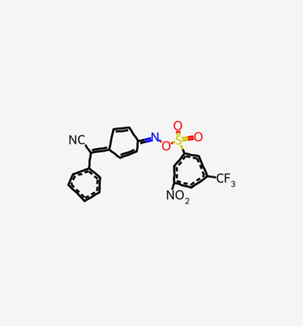 N#CC(=C1C=CC(=NOS(=O)(=O)c2cc([N+](=O)[O-])cc(C(F)(F)F)c2)C=C1)c1ccccc1